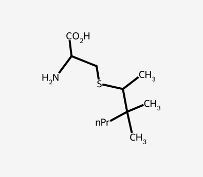 CCCC(C)(C)C(C)SCC(N)C(=O)O